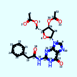 CC(=O)OC[C@H]1O[C@@H](n2cnc3c(=O)[nH]c(NC(=O)Cc4ccccc4)nc32)C[C@@H]1OC(C)=O